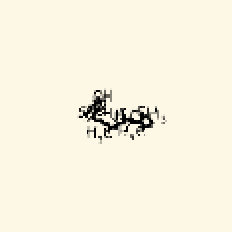 CC(C=CC=C(C)C=CC1=C(C)CCCC1(C)C)=CC=CC=C1SC(=S)N(CC(=O)O)C1=O